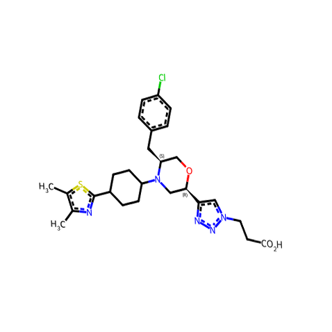 Cc1nc(C2CCC(N3C[C@H](c4cn(CCC(=O)O)nn4)OC[C@@H]3Cc3ccc(Cl)cc3)CC2)sc1C